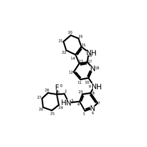 FC1(CNc2cncc(Nc3ccc4c5c([nH]c4n3)CCCC5)c2)CCCCC1